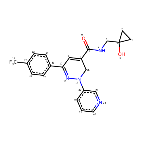 O=C(NCC1(O)CC1)C1=CC(c2ccc(C(F)(F)F)cc2)=NN(c2cccnc2)C1